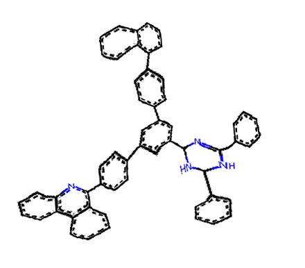 c1ccc(C2=NC(c3cc(-c4ccc(-c5cccc6ccccc56)cc4)cc(-c4ccc(-c5nc6ccccc6c6ccccc56)cc4)c3)NC(c3ccccc3)N2)cc1